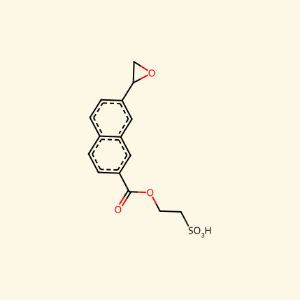 O=C(OCCS(=O)(=O)O)c1ccc2ccc(C3CO3)cc2c1